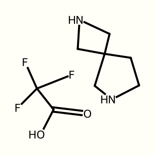 C1CC2(CN1)CNC2.O=C(O)C(F)(F)F